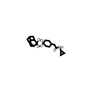 O=C(CC1CCC2(CC1)OOC1(OO2)C2CC3CC(C2)CC1C3)NC1CC1